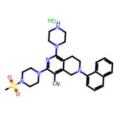 CS(=O)(=O)N1CCN(c2nc(N3CCNCC3)c3c(c2C#N)CN(c2cccc4ccccc24)CC3)CC1.Cl